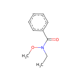 CCN(OC)C(=O)c1cc[c]cc1